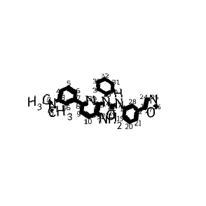 CN(C)c1cccc(-c2ccc(N)c(N(C(=O)Nc3cccc(-c4cnco4)c3)C3CCCCC3)n2)c1